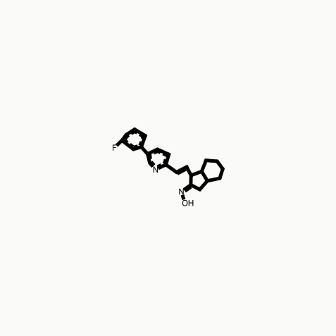 ON=C1CC2CCCCC2C1C=Cc1ccc(-c2cccc(F)c2)cn1